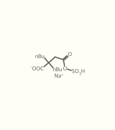 CCCCC(CCCC)(CC(=O)OS(=O)(=O)O)C(=O)[O-].[Na+]